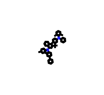 Cc1ccc2c(c1)c1cc(-c3ccccc3)ccc1n2-c1cc2c(c3ccccc13)-c1ccc(N(c3ccccc3)c3c(C)cccc3C)cc1C2(C)C